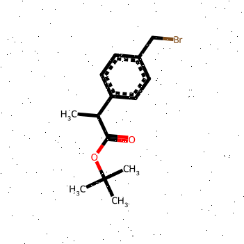 CC(C(=O)OC(C)(C)C)c1ccc(CBr)cc1